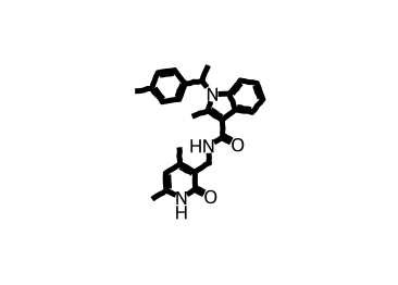 Cc1ccc(C(C)n2c(C)c(C(=O)NCc3c(C)cc(C)[nH]c3=O)c3ccccc32)cc1